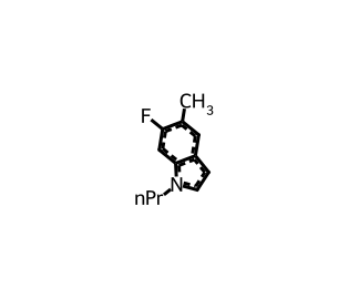 CCCn1ccc2cc(C)c(F)cc21